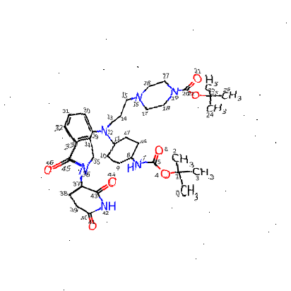 CC(C)(C)OC(=O)NC1CCC(N(CCCN2CCN(C(=O)OC(C)(C)C)CC2)c2cccc3c2CN(C2CCC(=O)NC2=O)C3=O)CC1